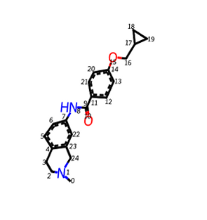 CN1CCc2ccc(NC(=O)c3ccc(OCC4CC4)cc3)cc2C1